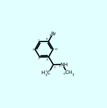 CNC(C)c1cccc(Br)c1